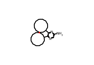 Nc1cnc(C2CCCCCCCCCCC2)c(C2CCCCCCCCCCC2)n1